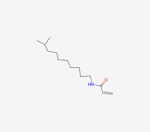 C=CC(=O)NCCCCCCCCC(C)C